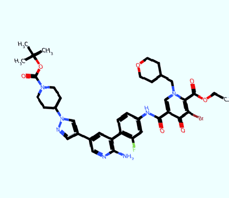 CCOC(=O)c1c(Br)c(=O)c(C(=O)Nc2ccc(-c3cc(-c4cnn(C5CCN(C(=O)OC(C)(C)C)CC5)c4)cnc3N)c(F)c2)cn1CC1CCOCC1